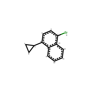 Brc1ccc(C2CC2)c2ccccc12